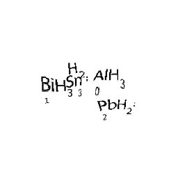 [AlH3].[BiH3].[PbH2].[SnH2]